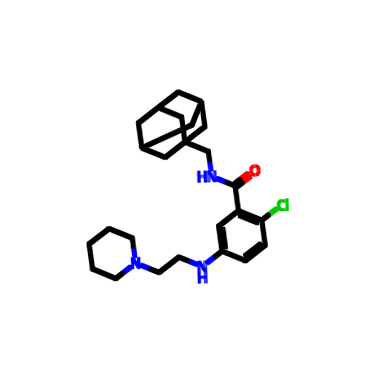 O=C(NCC12CC3CC(CC(C3)C1)C2)c1cc(NCCN2CCCCC2)ccc1Cl